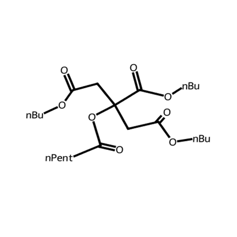 CCCCCC(=O)OC(CC(=O)OCCCC)(CC(=O)OCCCC)C(=O)OCCCC